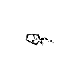 CN=S1(=O)CC2CCC(C1)N2